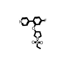 CCS(=O)(=O)N1CCC(Oc2cc(F)ccc2-c2ccncc2)C1